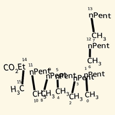 CCCCCC.CCCCCC.CCCCCC.CCCCCC.CCCCCC.CCCCCC.CCCCCC.CCOC(C)=O